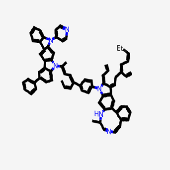 C=C/C=c1\c(=C/C/C(C=C)=C/C=C\CC)c2cc3c(cc2n1-c1ccc(C(/C=C\C)=C/C=C(\C)n2c4ccc(-c5ccccc5)cc4c4cc5c6ccccc6n(-c6ccncc6)c5cc42)cc1)NC(C)/C=N\C=C/c1ccccc1-3